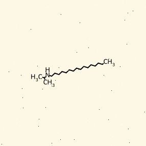 CCCCCCCCCCCCCCCCNC(C)C